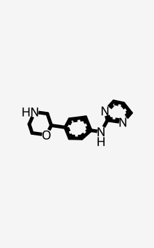 c1cnc(Nc2ccc(C3CNCCO3)cc2)nc1